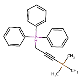 CS(C)(C)C#CC[PH](c1ccccc1)(c1ccccc1)c1ccccc1